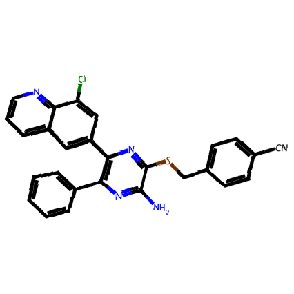 N#Cc1ccc(CSc2nc(-c3cc(Cl)c4ncccc4c3)c(-c3ccccc3)nc2N)cc1